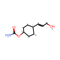 NC(=O)OC1CCC(C=CCO)CC1